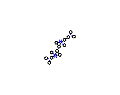 c1ccc(N(c2ccccc2)c2ccc(-c3ccc(-c4nc5c6ccccc6c6cc(-c7ccc8c(c7)c7ccccc7c7nc(-c9ccc(N(c%10ccccc%10)c%10ccccc%10)cc9)n(-c9ccccc9)c87)ccc6c5n4-c4ccccc4)cc3)cc2)cc1